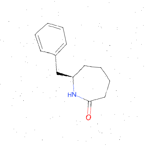 O=C1CCCC[C@H](Cc2ccccc2)N1